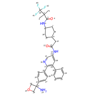 CC(C)(C(=O)NC1CCC(CC(=O)Nc2cnc(-c3ccc(C4(N)COC4)cc3)c(-c3ccccc3)c2)CC1)C(F)(F)F